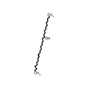 CCCCCCCCC=CCCCCCCCCC(O)CCCCCCCCCCC